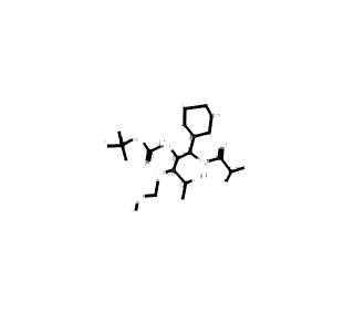 COCOC(C(C)O)C(NC(=O)OC(C)(C)C)C(NC(=O)C(C)C)C1CCCCC1